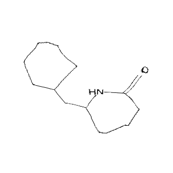 O=C1CCCC(CC2CCCCC2)N1